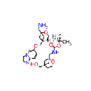 CC(C)(C)OC(=O)NCC12CC(CO)(CCO1)C2.NCC12CC(COc3ccc4nccn4c3)(CCO1)C2